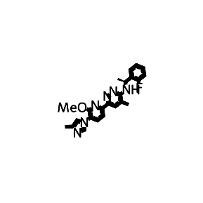 COc1nc(-c2cc(C)c(N[C@@H](C)c3ccccc3F)nn2)ccc1-n1cnc(C)c1